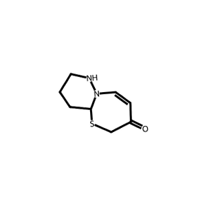 O=C1C=CN2NCCCC2SC1